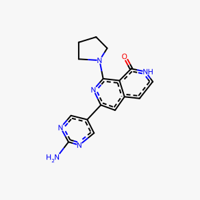 Nc1ncc(-c2cc3cc[nH]c(=O)c3c(N3CCCC3)n2)cn1